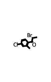 Cc1cc(Cl)ccc1C(=O)C(C)Br